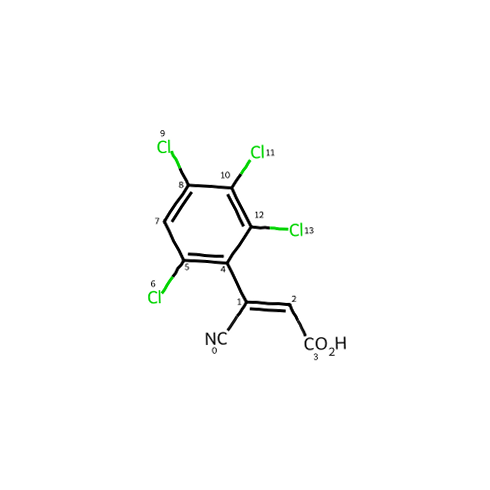 N#CC(=CC(=O)O)c1c(Cl)cc(Cl)c(Cl)c1Cl